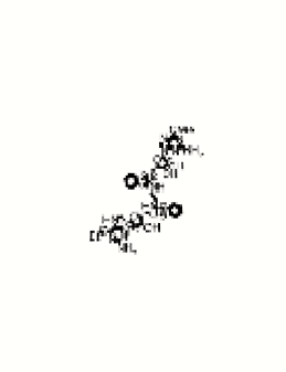 CCOc1nc(N)nc2c1NCN2[C@@H]1O[C@H](COP(=O)(NCCNP(=O)(OC[C@H]2O[C@@H](n3cnc4c(OC)nc(N)nc43)[C@](C)(O)[C@@H]2O)Oc2ccccc2)Oc2ccccc2)[C@@H](O)[C@@]1(C)F